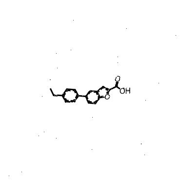 CCc1ccc(-c2ccc3oc(C(=O)O)cc3c2)cc1